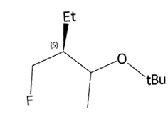 CC[C@H](CF)C(C)OC(C)(C)C